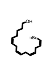 CCCC/C=C\C/C=C\C/C=C\C/C=C\CCCCO